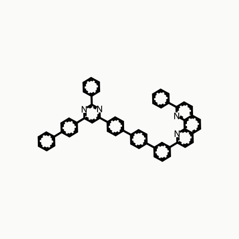 c1ccc(-c2ccc(-c3cc(-c4ccc(-c5ccc(-c6cccc(-c7ccc8ccc9ccc(-c%10ccccc%10)nc9c8n7)c6)cc5)cc4)nc(-c4ccccc4)n3)cc2)cc1